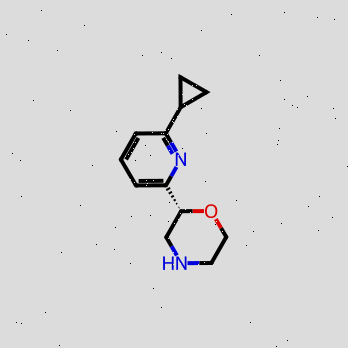 c1cc(C2CC2)nc([C@H]2CNCCO2)c1